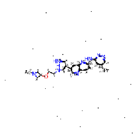 CC(=O)N1CC(OCCN/C=C(\C=N)c2cnc3ccc(Nc4cc(C(C)C)cnn4)nc3c2)C1